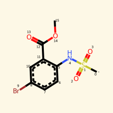 [CH2]S(=O)(=O)Nc1ccc(Br)cc1C(=O)OC